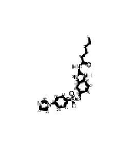 CCCCCC(=O)Nc1nc2cc(OS(=O)(=O)c3ccc(-n4ccnc4)cc3)ccc2[nH]1